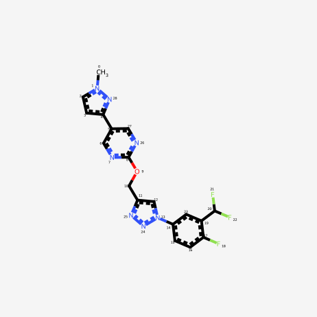 Cn1ccc(-c2cnc(OCc3cn(-c4ccc(F)c(C(F)F)c4)nn3)nc2)n1